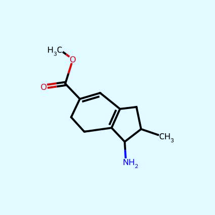 COC(=O)C1=CC2=C(CC1)C(N)C(C)C2